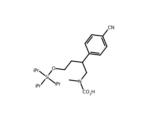 CC(C)[Si](OCCC(CN(C)C(=O)O)c1ccc(C#N)cc1)(C(C)C)C(C)C